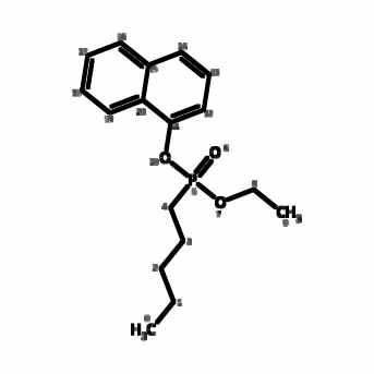 CCCCCP(=O)(OCC)Oc1cccc2ccccc12